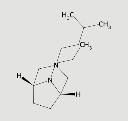 CCCN1[C@@H]2CC[C@H]1CN(CCC(C)C)C2